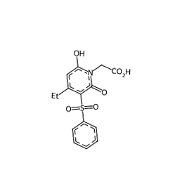 CCc1cc(O)n(CC(=O)O)c(=O)c1S(=O)(=O)c1ccccc1